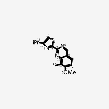 COc1ccc2[c]nc(-c3nc(C(C)C)cs3)nc2c1C